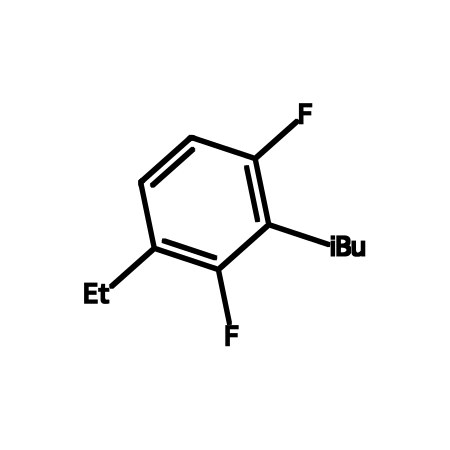 CCc1ccc(F)c(C(C)CC)c1F